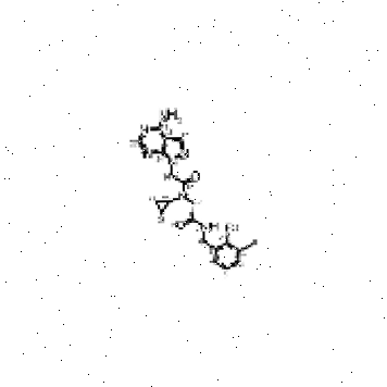 Cc1cccc(CNC(=O)CN(C(=O)Cn2ncc3c(N)ncnc32)C2CC2)c1F